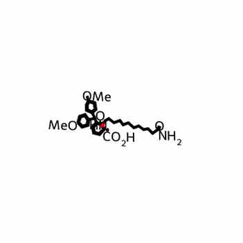 COc1ccc(C(OC(CCCCCCCCCCC(N)=O)NCC(=O)O)(c2ccccc2)c2ccc(OC)cc2)cc1